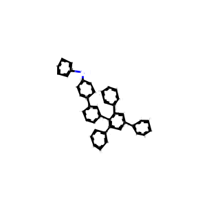 c1ccc(Nc2ccc(-c3cccc(-c4c(-c5ccccc5)cc(-c5ccccc5)cc4-c4ccccc4)c3)cc2)cc1